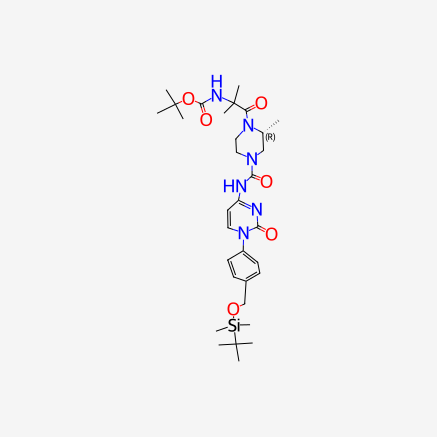 C[C@@H]1CN(C(=O)Nc2ccn(-c3ccc(CO[Si](C)(C)C(C)(C)C)cc3)c(=O)n2)CCN1C(=O)C(C)(C)NC(=O)OC(C)(C)C